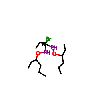 CCCC(CC)O[PH][Ni]([Br])([CH2]C)[PH]OC(CC)CCC